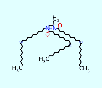 CCCCCCCC/C=C\CCCCCCCCN(CC(C)NC(=O)CCCCCCC/C=C\CCCCCCCC)C(=O)CCCCCCC/C=C\CCCCCCCC